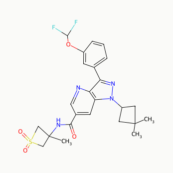 CC1(C)CC(n2nc(-c3cccc(OC(F)F)c3)c3ncc(C(=O)NC4(C)CS(=O)(=O)C4)cc32)C1